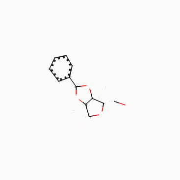 OC[C@@H]1O[C@H](O)[C@H]2OC(c3ccccc3)O[C@H]21